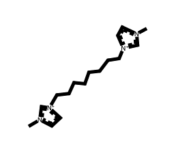 Cn1cc[n+](CCCCCCCC[n+]2ccn(C)c2)c1